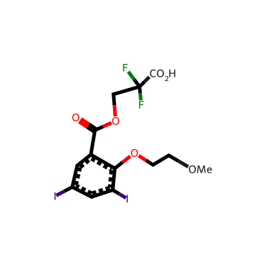 COCCOc1c(I)cc(I)cc1C(=O)OCC(F)(F)C(=O)O